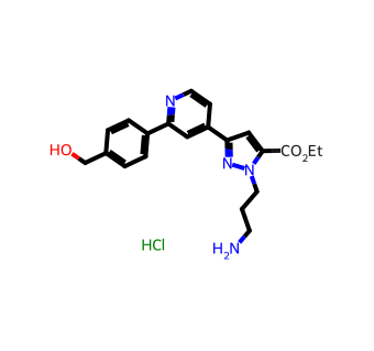 CCOC(=O)c1cc(-c2ccnc(-c3ccc(CO)cc3)c2)nn1CCCN.Cl